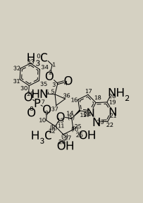 CCOC(=O)C1(NP(=O)(OC[C@@]2(C)O[C@@H](c3ccc4c(N)ncnn34)[C@H](O)[C@@H]2O)Oc2ccccc2)CC1